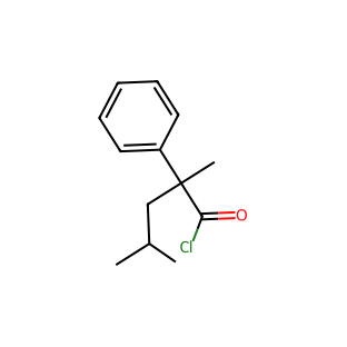 CC(C)CC(C)(C(=O)Cl)c1ccccc1